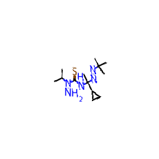 CC(C)N(N)C(=S)NC(C)(N=NC(C)(C)C)C1CC1